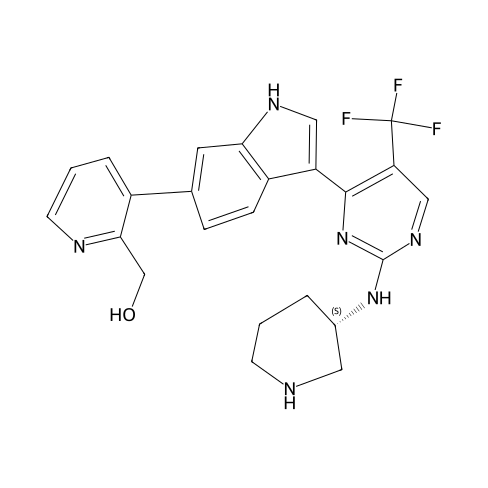 OCc1ncccc1-c1ccc2c(-c3nc(N[C@H]4CCCNC4)ncc3C(F)(F)F)c[nH]c2c1